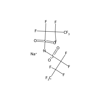 O=S(=O)([N]S(=O)(=O)C(F)(F)C(F)(F)C(F)(F)F)C(F)(F)C(F)(F)C(F)(F)F.[Na+]